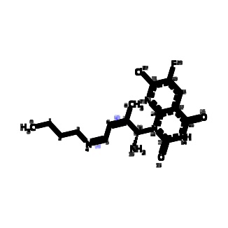 CCCC/N=C\C=C(\C)[C@@H](N)n1c(=O)[nH]c(=O)c2cc(F)c(Cl)nc21